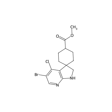 COC(=O)C1CCC2(CC1)CNc1ncc(Br)c(Cl)c12